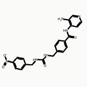 Nc1cnccc1NC(=O)c1ccc(CNC(=O)NCc2ccc([N+](=O)[O-])cc2)cc1